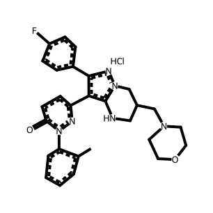 Cc1ccccc1-n1nc(-c2c(-c3ccc(F)cc3)nn3c2NCC(CN2CCOCC2)C3)ccc1=O.Cl